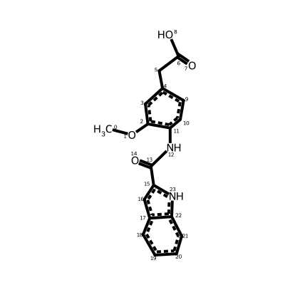 COc1cc(CC(=O)O)ccc1NC(=O)c1cc2ccccc2[nH]1